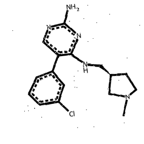 CN1CC[C@H](CNc2nc(N)ncc2-c2cccc(Cl)c2)C1